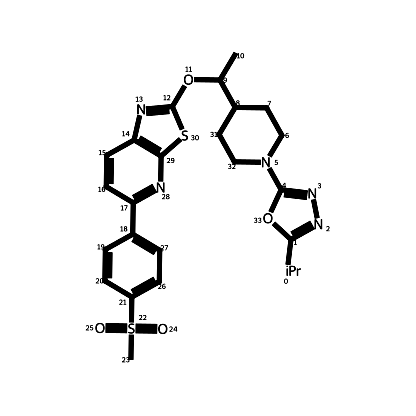 CC(C)c1nnc(N2CCC(C(C)Oc3nc4ccc(-c5ccc(S(C)(=O)=O)cc5)nc4s3)CC2)o1